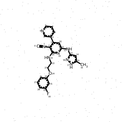 [C-]#[N+]c1c(-c2cccnc2)cc(Nc2cc(C)[nH]n2)nc1NCCOc1cccc(F)c1